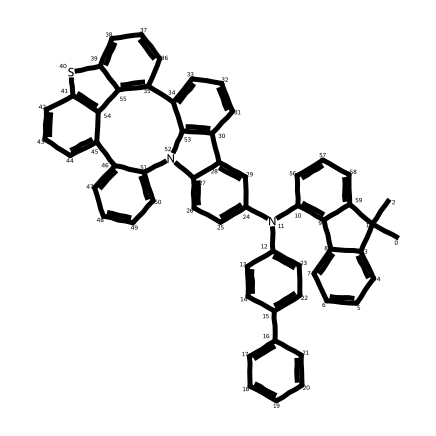 CC1(C)c2ccccc2-c2c(N(c3ccc(-c4ccccc4)cc3)c3ccc4c(c3)c3cccc5c6cccc7sc8cccc(c9ccccc9n4c53)c8c76)cccc21